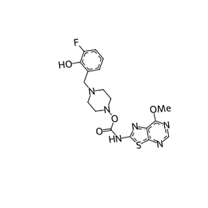 COc1ncnc2sc(NC(=O)ON3CCN(Cc4cccc(F)c4O)CC3)nc12